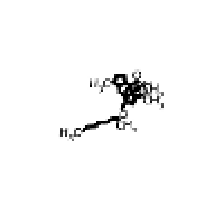 CCCCCCCC(C)OCC12C=C(C(C)C)C3(C(=O)O)C1CC1C(C)CCC1C3(C=O)C2